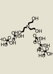 O=P(O)(O)O.O=P(O)(O)O.O=[N+]([O-])O.O=[N+]([O-])O.O=[N+]([O-])O.OCCN(CCO)CCO